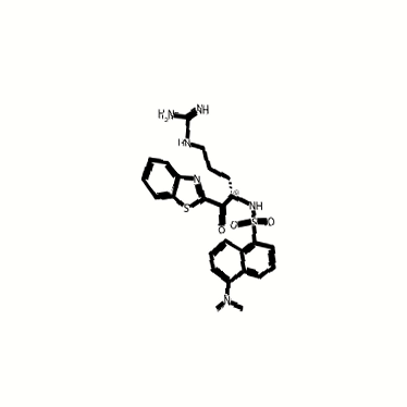 CN(C)c1cccc2c(S(=O)(=O)N[C@@H](CCCNC(=N)N)C(=O)c3nc4ccccc4s3)cccc12